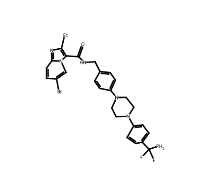 CCc1nc2ccc(Br)cn2c1C(=O)NCc1ccc(N2CCN(c3ccc(C(F)(F)P)cc3)CC2)cc1